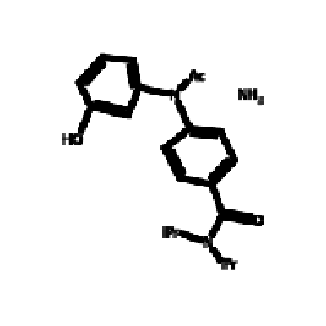 CC(=O)N(c1ccc(C(=O)N(C(C)C)C(C)C)cc1)c1cccc(O)c1.N